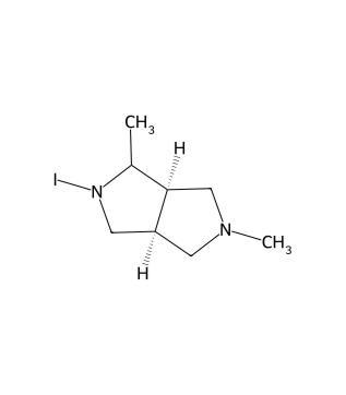 CC1[C@H]2CN(C)C[C@H]2CN1I